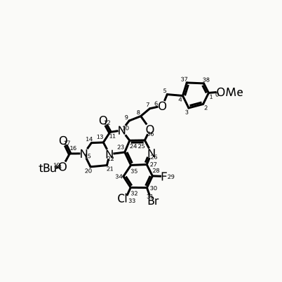 COc1ccc(COCC2CN3C(=O)C4CN(C(=O)OC(C)(C)C)CCN4c4c3c(nc3c(F)c(Br)c(Cl)cc43)O2)cc1